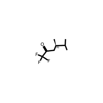 CC(C)[C@H](C)CC(=O)C(F)(F)F